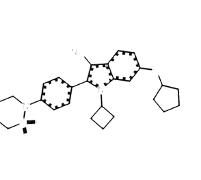 N#Cc1c(-c2ccc(N3CCCCS3(=O)=O)cc2)n(C2CCC2)c2cc(OC3CCCC3)ccc12